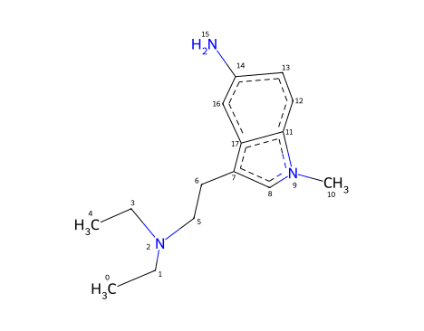 CCN(CC)CCc1cn(C)c2ccc(N)cc12